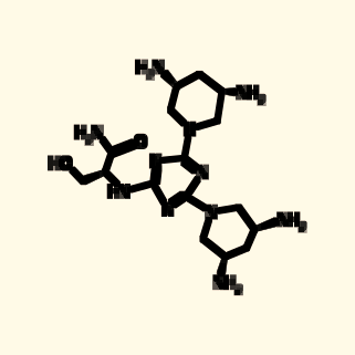 NC(=O)[C@H](CO)Nc1nc(N2C[C@H](N)C[C@H](N)C2)nc(N2C[C@H](N)C[C@H](N)C2)n1